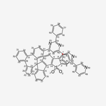 O=S1(=O)c2ccccc2-c2ccc3c(c21)-c1ccccc1C31c2ccccc2-c2ccccc2-c2ccc(-c3cc(-c4ccc(-c5cccnc5)nc4)nc(-c4ccccc4)n3)cc21